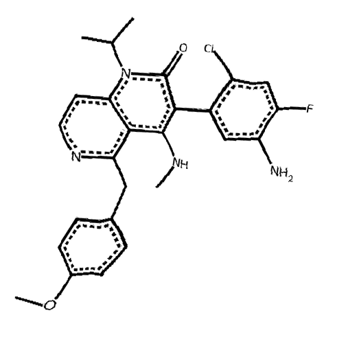 CNc1c(-c2cc(N)c(F)cc2Cl)c(=O)n(C(C)C)c2ccnc(Cc3ccc(OC)cc3)c12